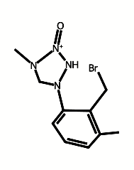 Cc1cccc(N2CN(C)[N+](=O)N2)c1CBr